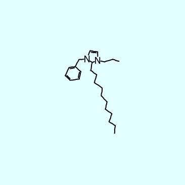 CCCCCCCCCCCC1N(CCC)C=CN1Cc1ccccc1